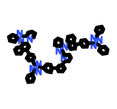 c1ccc(-c2nc(-c3ccc(-c4cccc(-c5cccc(-c6nc7ccccc7n6-c6ccc(-c7ccc(-c8nc(-c9ccccc9)nc(-c9ccccc9)n8)cc7)c7ccccc67)n5)c4)cc3)nc(-c3ccc(-c4ccc(-n5c(-c6ccccn6)nc6ccccc65)c5ccccc45)cc3)n2)cc1